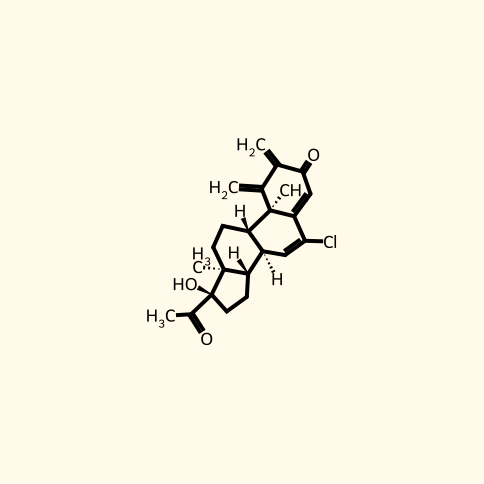 C=C1C(=C)[C@@]2(C)C(=CC1=O)C(Cl)=C[C@@H]1[C@@H]2CC[C@@]2(C)[C@H]1CC[C@]2(O)C(C)=O